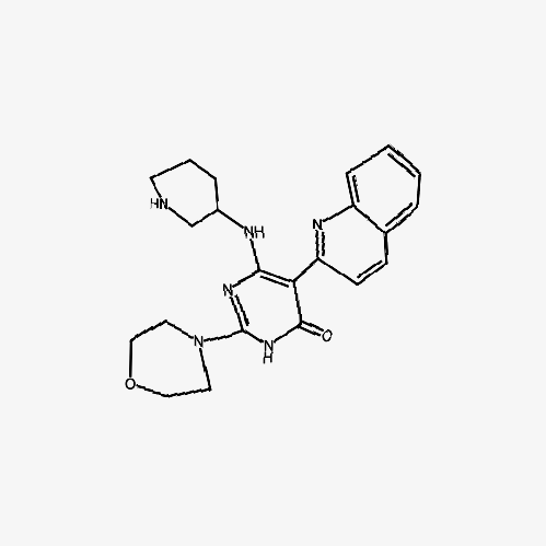 O=c1[nH]c(N2CCOCC2)nc(NC2CCCNC2)c1-c1ccc2ccccc2n1